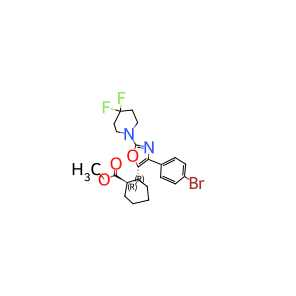 COC(=O)[C@@H]1CCCC[C@H]1c1oc(N2CCC(F)(F)CC2)nc1-c1ccc(Br)cc1